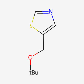 CC(C)(C)OCc1cncs1